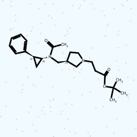 CC(=O)N(C[C@H]1CCN(CCC(=O)OC(C)(C)C)C1)[C@@H]1C[C@H]1c1ccccc1